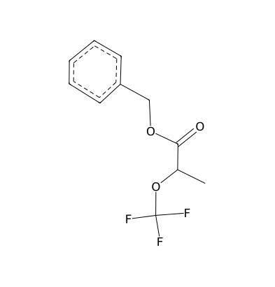 CC(OC(F)(F)F)C(=O)OCc1ccccc1